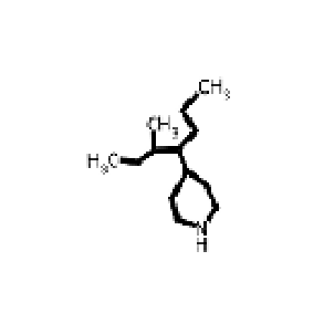 CCCC(C(C)CC)C1CCNCC1